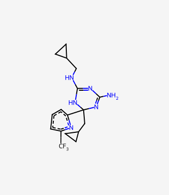 NC1=NC(CC2CC2)(c2cccc(C(F)(F)F)n2)NC(NCC2CC2)=N1